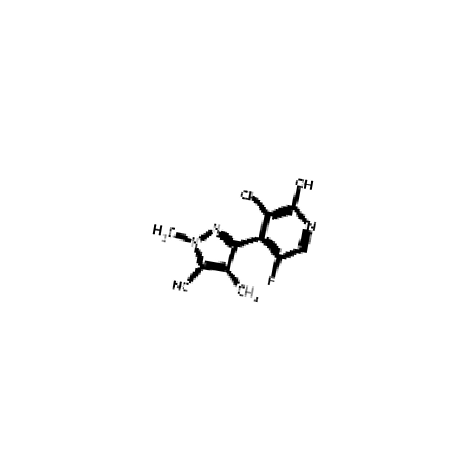 Cc1c(-c2c(F)cnc(O)c2Cl)nn(C)c1C#N